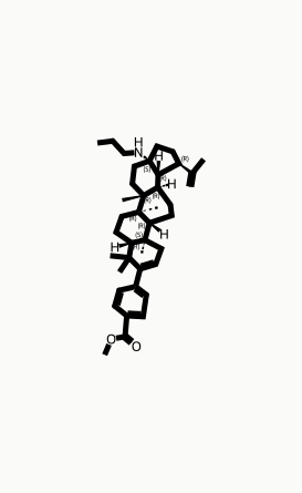 C=C(C)[C@@H]1CC[C@]2(NCCC)CC[C@]3(C)[C@H](CC[C@@H]4[C@@]5(C)CC=C(c6ccc(C(=O)OC)cc6)C(C)(C)[C@@H]5CC[C@]43C)[C@@H]12